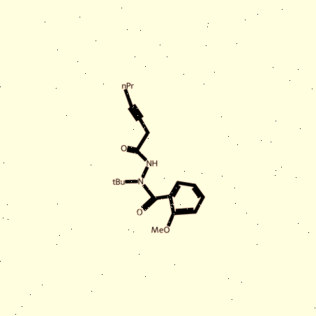 CCCC#CCC(=O)NN(C(=O)c1ccccc1OC)C(C)(C)C